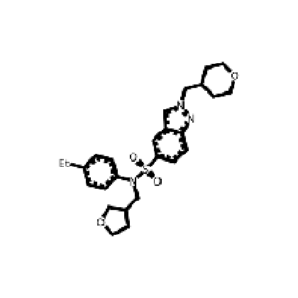 CCc1ccc(N(CC2CCOC2)S(=O)(=O)c2ccc3nn(CC4CCOCC4)cc3c2)cc1